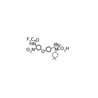 CC1(C)CCC(N(C(=O)O)C(c2ccc(Oc3ccc(NC(=O)C(F)(F)F)c([N+](=O)[O-])c3)cc2)C(C)(C)C)CC1